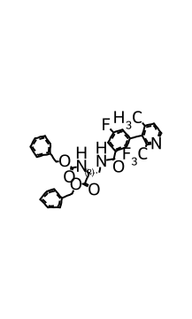 Cc1ccnc(C(F)(F)F)c1-c1cc(F)cc(C(=O)NC[C@@H](NC(=O)OCc2ccccc2)C(=O)OCc2ccccc2)c1